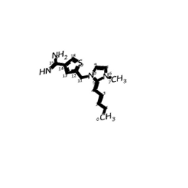 CC/C=C/C=C1\N(C)C=CN1Cc1cc(C(=N)N)cs1